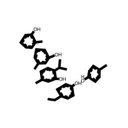 CCc1ccc(O)cc1.Cc1ccc(C(C)C)c(O)c1.Cc1ccc(O)cc1.Cc1cccc(O)c1.Cc1ccccc1O